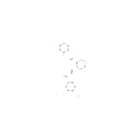 Cc1cc2c(cc1C)C(=O)/C(=C/c1ccncc1C(=O)Oc1c(Cl)cc(Cl)cc1Cl)C2